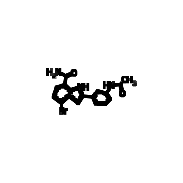 CC(=O)Nc1cccc(-c2cc3c(Br)ccc(C(N)=O)c3[nH]2)c1